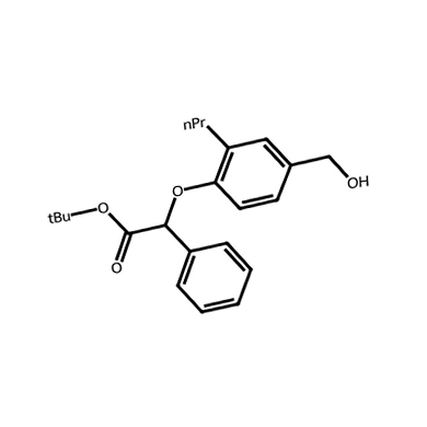 CCCc1cc(CO)ccc1OC(C(=O)OC(C)(C)C)c1ccccc1